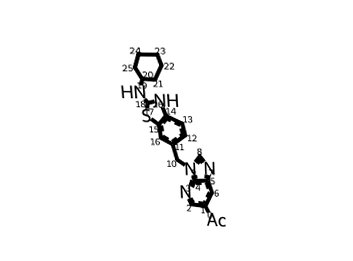 CC(=O)c1cnc2c(c1)ncn2Cc1ccc2c(c1)SC(NC1CCCCC1)N2